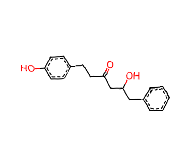 O=C(CCc1ccc(O)cc1)CC(O)Cc1ccccc1